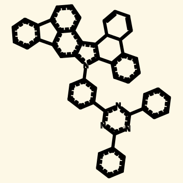 C1=CC2c3ccccc3-c3c(c4c5cccc6c5c(cc4n3-c3cccc(-c4nc(-c5ccccc5)nc(-c5ccccc5)n4)c3)-c3ccccc3-6)C2C=C1